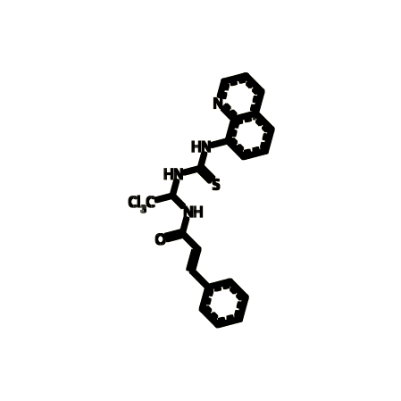 O=C(C=Cc1ccccc1)NC(NC(=S)Nc1cccc2cccnc12)C(Cl)(Cl)Cl